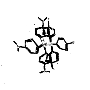 CN(C)c1ccc([PH](c2ccc(N(C)C)cc2)(c2ccc(N(C)C)cc2)[PH](c2ccc(F)cc2)(c2ccc(F)cc2)c2ccc(F)cc2)cc1